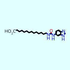 O=C(O)CCCCCCCCCCCCCNC(=O)Nc1ccc2nc[nH]c2c1